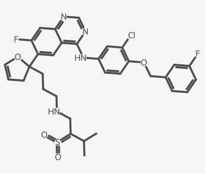 CC(C)C(CNCCCC1(c2cc3c(Nc4ccc(OCc5cccc(F)c5)c(Cl)c4)ncnc3cc2F)CC=CO1)=S(=O)=O